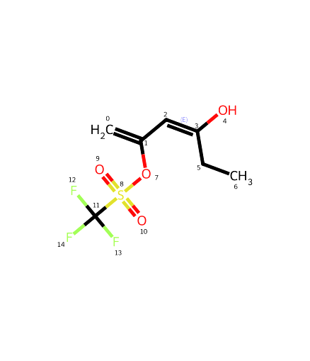 C=C(/C=C(/O)CC)OS(=O)(=O)C(F)(F)F